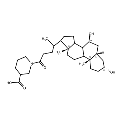 CC(CCC(=O)N1CCCC(C(=O)O)C1)C1CCC2C3C(CC[C@]12C)[C@@]1(C)CC[C@@H](O)C[C@H]1C[C@@H]3O